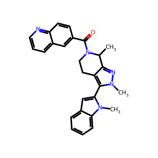 CC1c2nn(C)c(-c3cc4ccccc4n3C)c2CCN1C(=O)c1ccc2ncccc2c1